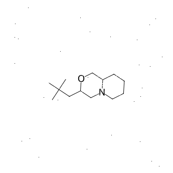 CC(C)(C)CC1CN2CCCCC2CO1